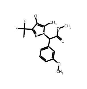 COC(=O)C(c1cccc(OC)c1)n1nc(C(F)(F)F)c(Cl)c1C